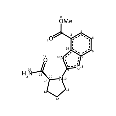 COC(=O)c1cccc2oc(N3CCC[C@H]3C(N)=O)nc12